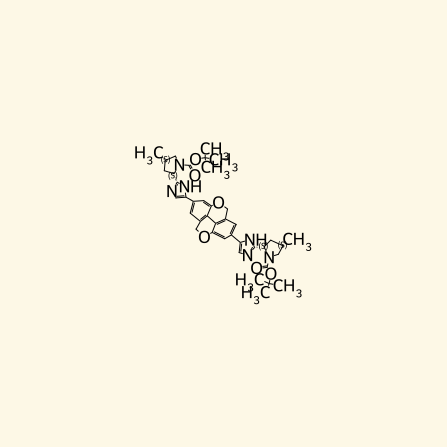 C[C@H]1C[C@@H](c2ncc(-c3cc4c5c(c3)OCc3cc(-c6cnc([C@@H]7C[C@H](C)CN7C(=O)OC(C)(C)C)[nH]6)cc(c3-5)OC4)[nH]2)N(C(=O)OC(C)(C)C)C1